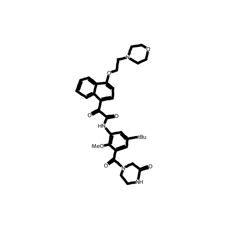 COc1c(NC(=O)C(=O)c2ccc(OCCN3CCOCC3)c3ccccc23)cc(C(C)(C)C)cc1C(=O)N1CCNC(=O)C1